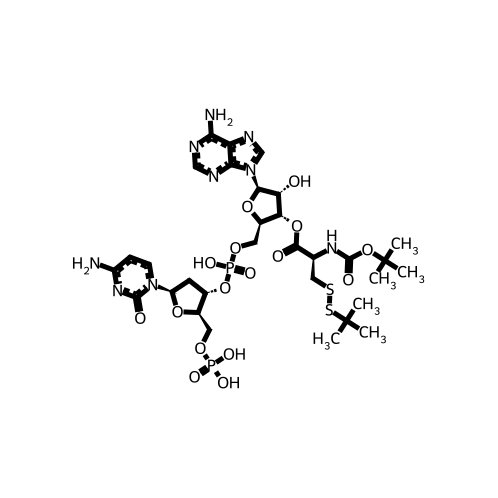 CC(C)(C)OC(=O)N[C@@H](CSSC(C)(C)C)C(=O)O[C@H]1[C@@H](O)[C@H](n2cnc3c(N)ncnc32)O[C@@H]1COP(=O)(O)O[C@H]1C[C@H](n2ccc(N)nc2=O)O[C@@H]1COP(=O)(O)O